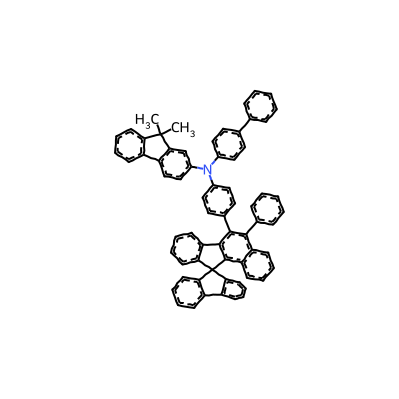 CC1(C)c2ccccc2-c2ccc(N(c3ccc(-c4ccccc4)cc3)c3ccc(-c4c5c(c6ccccc6c4-c4ccccc4)C4(c6ccccc6-c6ccccc64)c4ccccc4-5)cc3)cc21